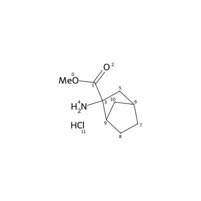 COC(=O)C1(N)CC2CCC1C2.Cl